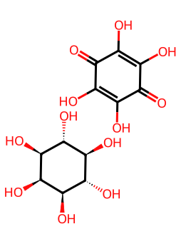 O=C1C(O)=C(O)C(=O)C(O)=C1O.O[C@H]1[C@H](O)[C@@H](O)[C@H](O)[C@@H](O)[C@H]1O